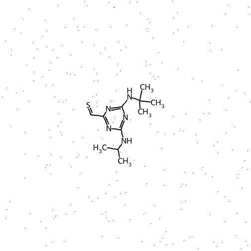 CC(C)Nc1nc(C=S)nc(NC(C)(C)C)n1